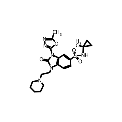 Cc1nnc(-n2c(=O)n(CCN3CCCCC3)c3ccc(S(=O)(=O)NC4(C)CC4)cc32)o1